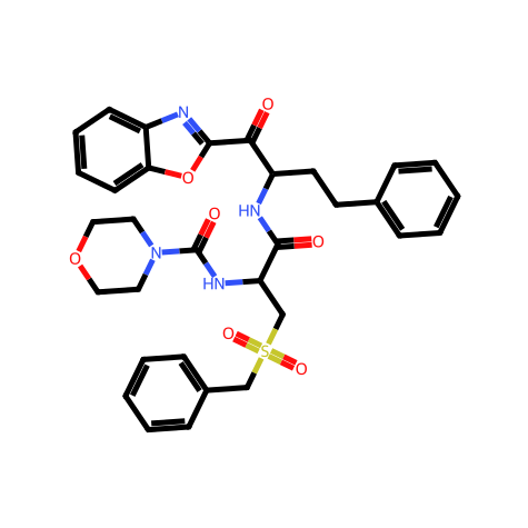 O=C(NC(CCc1ccccc1)C(=O)c1nc2ccccc2o1)C(CS(=O)(=O)Cc1ccccc1)NC(=O)N1CCOCC1